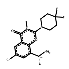 C[C@@H](N)c1cc(Cl)cc2c(=O)n(C)c(N3CCC(F)(F)CC3)nc12